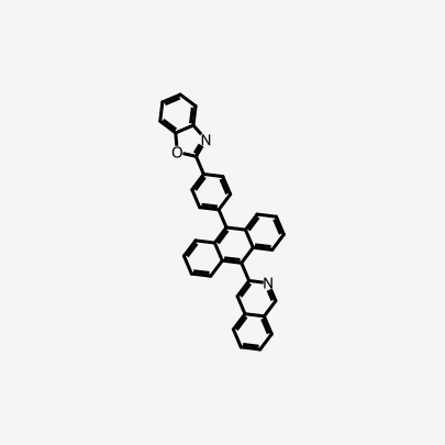 c1ccc2cc(-c3c4ccccc4c(-c4ccc(-c5nc6ccccc6o5)cc4)c4ccccc34)ncc2c1